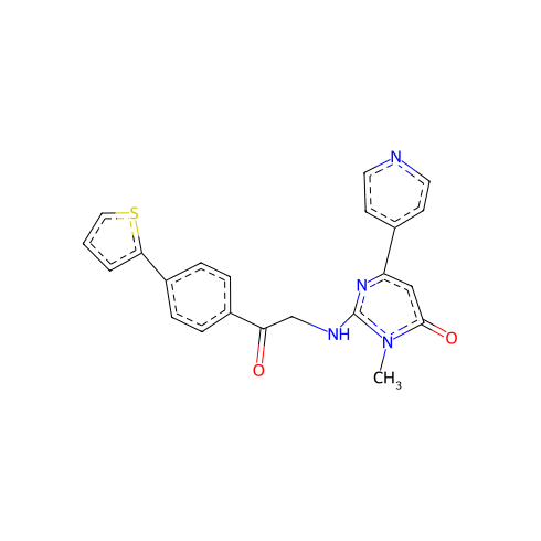 Cn1c(NCC(=O)c2ccc(-c3cccs3)cc2)nc(-c2ccncc2)cc1=O